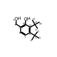 CC(C)(C)c1ccc(CO)c(O)c1C(C)(C)C